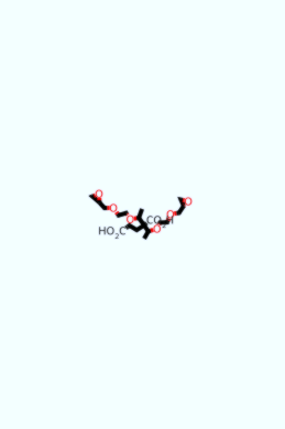 CC(OCCOCC1CO1)C(CCC(=O)O)(C(=O)O)C(C)OCCOCC1CO1